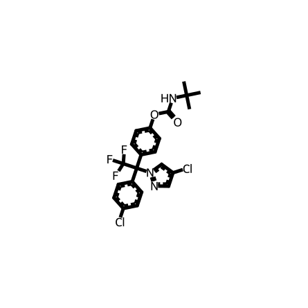 CC(C)(C)NC(=O)Oc1ccc(C(c2ccc(Cl)cc2)(n2cc(Cl)cn2)C(F)(F)F)cc1